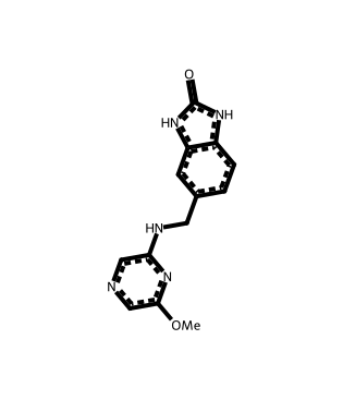 COc1cncc(NCc2ccc3[nH]c(=O)[nH]c3c2)n1